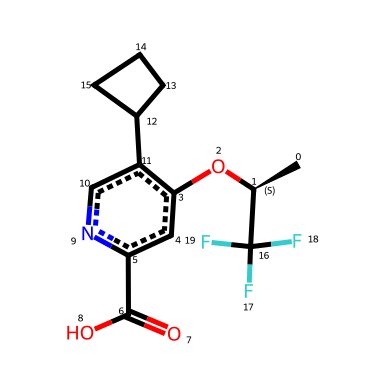 C[C@H](Oc1cc(C(=O)O)ncc1C1CCC1)C(F)(F)F